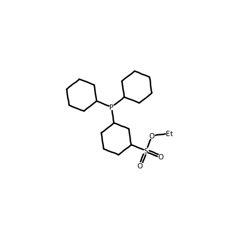 CCOS(=O)(=O)C1CCCC(P(C2CCCCC2)C2CCCCC2)C1